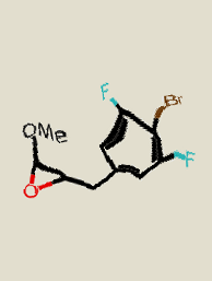 COC1OC1Cc1cc(F)c(Br)c(F)c1